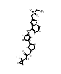 CCS(=O)(=O)Cc1cc2c(Nc3cc(C4CCC(OC(=O)NC5(C)CC5)C4)[nH]n3)nccn2n1